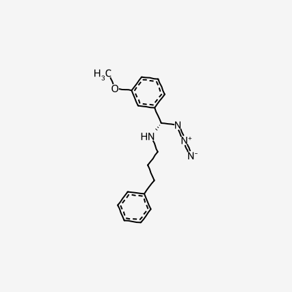 COc1cccc([C@H](N=[N+]=[N-])NCCCc2ccccc2)c1